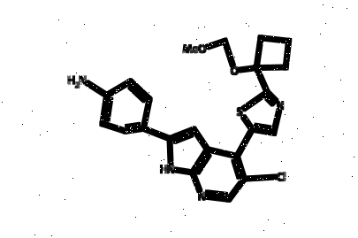 COCOC1(c2ncc(-c3c(Cl)cnc4[nH]c(-c5ccc(N)cc5)cc34)s2)CCC1